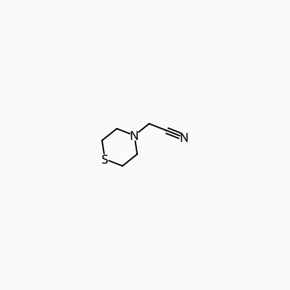 N#CCN1CCSCC1